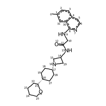 Cc1ccc2ccnc(NCC(=O)NC3CN([C@H]4CC[C@@H](C5CCCCO5)CC4)C3)c2c1